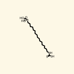 O=P(O)(O)OCCCCCCCCCCCCCCCCCNC(=S)S